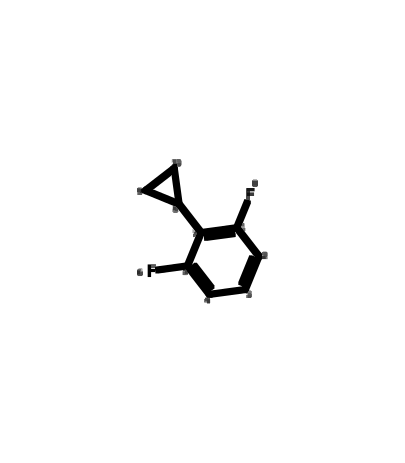 Fc1cccc(F)c1C1CC1